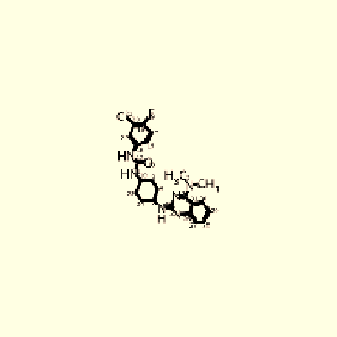 CN(C)c1nc(NC2CCC(NC(=O)Nc3ccc(F)c(Cl)c3)CC2)nc2ccccc12